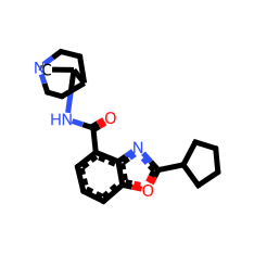 O=C(NC1CN2CCC1CC2)c1cccc2oc(C3CCCC3)nc12